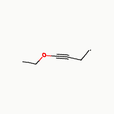 [CH2]CC#COCC